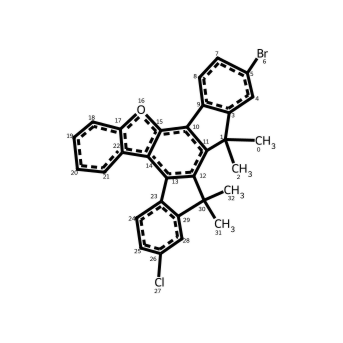 CC1(C)c2cc(Br)ccc2-c2c1c1c(c3c2oc2ccccc23)-c2ccc(Cl)cc2C1(C)C